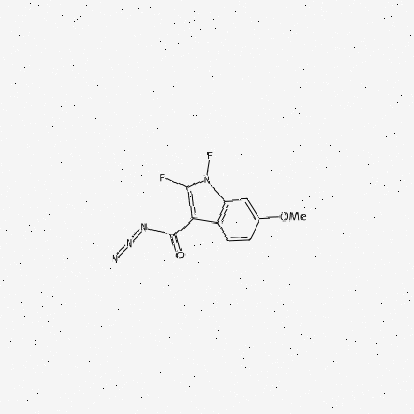 COc1ccc2c(C(=O)N=[N+]=[N-])c(F)n(F)c2c1